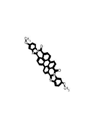 COc1ccc2c(c1)nc1c3ccc4c5ccc6c7c(ccc(c8ccc(c(=O)n21)c3c84)c57)c(=O)n1c2cc(OC)ccc2nc61